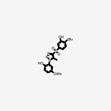 COc1ccc(O)c(-n2nnc(S(=O)(=O)c3ccc(C(C)(C)C)c(O)c3)c2C)c1